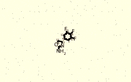 NC1=N[C@@H](c2cc(F)c(F)c(F)c2)CO1